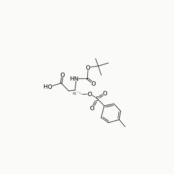 Cc1ccc(S(=O)(=O)OC[C@H](CC(=O)O)NC(=O)OC(C)(C)C)cc1